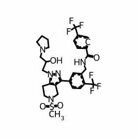 CS(=O)(=O)N1CCc2c(c(-c3ccc(C(F)(F)F)c(CNC(=O)c4ccc(C(F)(F)F)cc4)c3)nn2CC(O)CN2CCCC2)C1